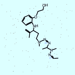 C=C(C)C(CCN(C)/N=N\C(C)N(C)/N=C\C)Nc1ccccc1OCCO